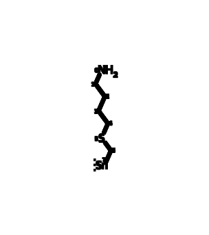 NCCCCS[CH2][Sn]